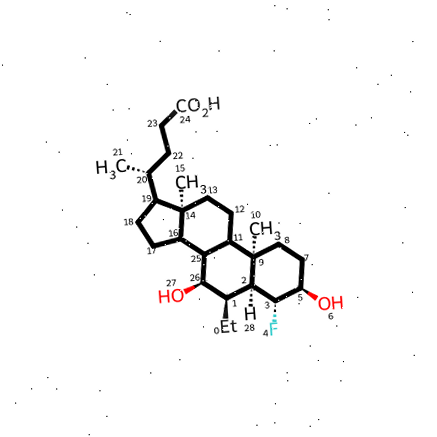 CC[C@@H]1[C@@H]2[C@@H](F)[C@H](O)CC[C@]2(C)C2CC[C@@]3(C)C(CCC3[C@H](C)CCC(=O)O)C2[C@@H]1O